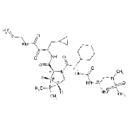 C=CCNC(=O)C(=O)C(CC1CC1)NC(=O)[C@@H]1[C@@H]2[C@H](CN1C(=O)[C@@H](NC(=O)N[C@H](CN(C)S(C)(=O)=O)C(C)(C)C)C1CCCCC1)C2(C)C